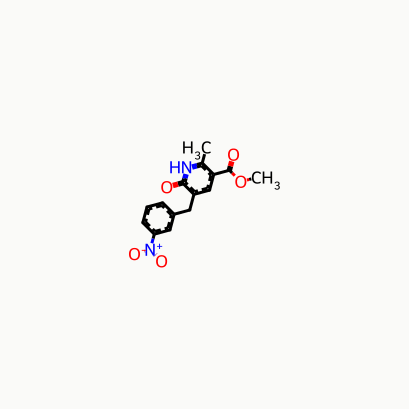 COC(=O)c1cc(Cc2cccc([N+](=O)[O-])c2)c(=O)[nH]c1C